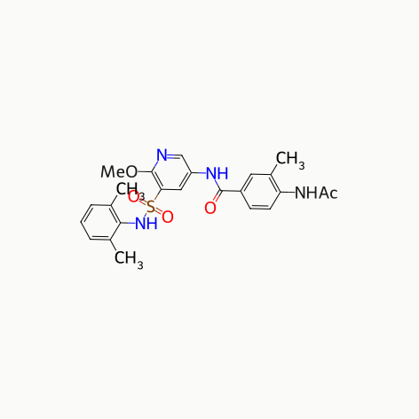 COc1ncc(NC(=O)c2ccc(NC(C)=O)c(C)c2)cc1S(=O)(=O)Nc1c(C)cccc1C